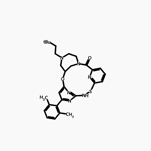 Cc1cccc(C)c1-c1cc2nc(n1)NSc1cccc(n1)C(=O)N1CCN(CCC(C)(C)C)CC(C1)O2